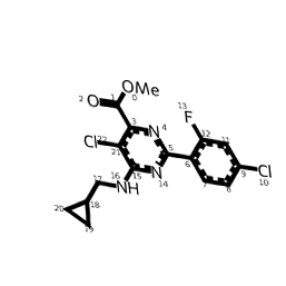 COC(=O)c1nc(-c2ccc(Cl)cc2F)nc(NCC2CC2)c1Cl